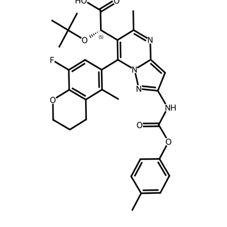 Cc1ccc(OC(=O)Nc2cc3nc(C)c([C@H](OC(C)(C)C)C(=O)O)c(-c4cc(F)c5c(c4C)CCCO5)n3n2)cc1